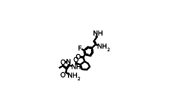 Cc1onc(NC(=O)C2CCCCC2C(=O)c2ccc(/C(N)=C/C=N)cc2F)c1C(N)=O